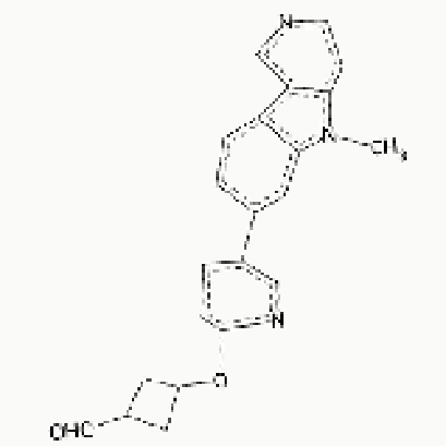 Cn1c2ccncc2c2ccc(-c3ccc(OC4CC(C=O)C4)nc3)cc21